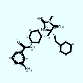 CN1C(=N)N[C@](CCC2CCCCC2)(C[C@H]2CCC[C@@H](NC(=O)c3cccc(N)c3)C2)C1=O